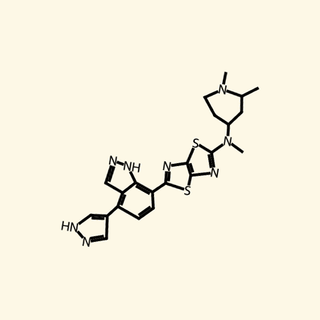 CC1CC(N(C)c2nc3sc(-c4ccc(-c5cn[nH]c5)c5cn[nH]c45)nc3s2)CCN1C